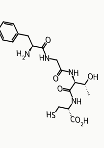 C[C@@H](O)[C@H](NC(=O)CNC(=O)[C@@H](N)Cc1ccccc1)C(=O)N[C@@H](CS)C(=O)O